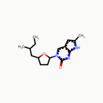 CCC(C)CC1CCC(n2cc3cc(C)[nH]c3nc2=O)O1